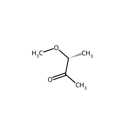 CO[C@H](C)C(C)=O